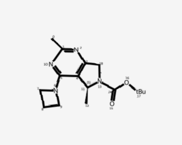 Cc1nc2c(c(N3CCC3)n1)[C@H](C)N(C(=O)OC(C)(C)C)C2